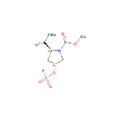 COC(=O)[C@@H]1C[C@@H](OS(=O)(=O)F)CN1C(=O)OC(C)(C)C